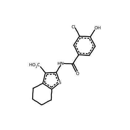 O=C(Nc1sc2c(c1C(=O)O)CCCC2)c1ccc(O)c(Cl)c1